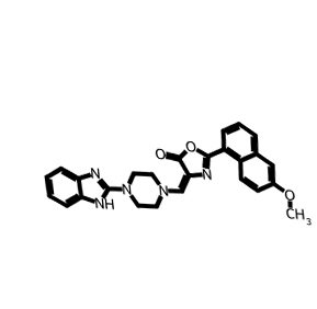 COc1ccc2c(C3=N/C(=C/N4CCN(c5nc6ccccc6[nH]5)CC4)C(=O)O3)cccc2c1